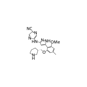 COc1cc(C)cc(OC[C@H]2CCCNC2)c1-c1cc(Nc2cnc(C#N)cn2)n[nH]1